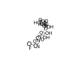 O=c1ccn([C@@H]2O[C@H](COP(=O)(O)OP(=O)(O)OP(=O)(O)O)C(O)C2O)c(=O)n1Cc1cc(-c2ccccc2F)ccn1